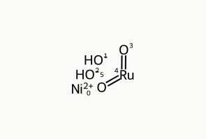 [Ni+2].[OH-].[OH-].[O]=[Ru]=[O]